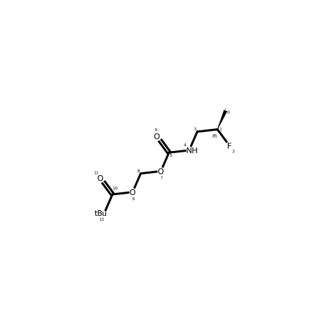 [CH2][C@@H](F)CNC(=O)OCOC(=O)C(C)(C)C